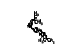 CC(C)Cn1cnc(CN2CCN(Cc3cn(CC(C)C)nn3)CC2)c1